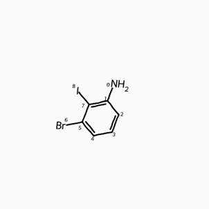 Nc1cccc(Br)c1I